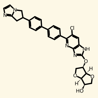 O[C@@H]1CO[C@H]2[C@@H]1OC[C@H]2Oc1nc2nc(-c3ccc(-c4ccc(C5Cc6nccn6C5)cc4)cc3)c(Cl)cc2[nH]1